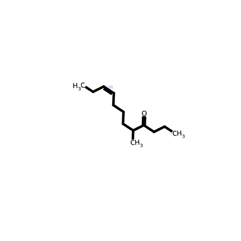 CC/C=C\CCCC(C)C(=O)CCC